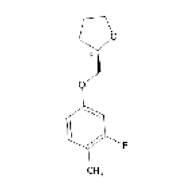 Cc1ccc(OC[C@H]2CCCO2)cc1F